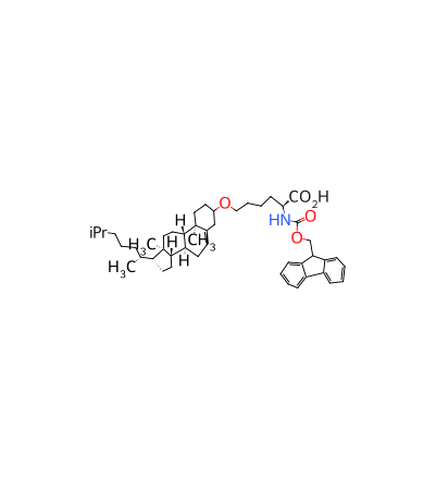 CC(C)CCC[C@@H](C)[C@H]1CC[C@H]2[C@@H]3CC=C4CC(OCCCC[C@H](NC(=O)OCC5c6ccccc6-c6ccccc65)C(=O)O)CC[C@]4(C)[C@H]3CC[C@]12C